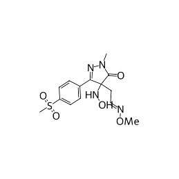 CON=CCC1(NO)C(=O)N(C)N=C1c1ccc(S(C)(=O)=O)cc1